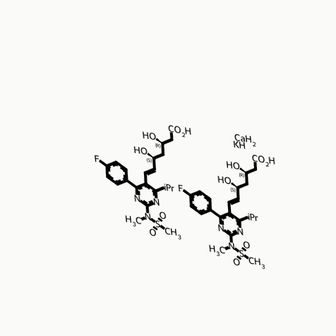 CC(C)c1nc(N(C)S(C)(=O)=O)nc(-c2ccc(F)cc2)c1C=C[C@@H](O)C[C@@H](O)CC(=O)O.CC(C)c1nc(N(C)S(C)(=O)=O)nc(-c2ccc(F)cc2)c1C=C[C@@H](O)C[C@@H](O)CC(=O)O.[CaH2].[KH]